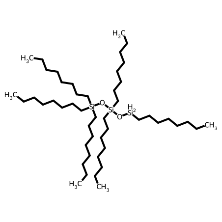 CCCCCCCC[SiH2]O[Si](CCCCCCCC)(CCCCCCCC)O[Si](CCCCCCCC)(CCCCCCCC)CCCCCCCC